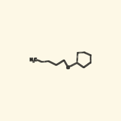 CCCCCOC1CCCCC1